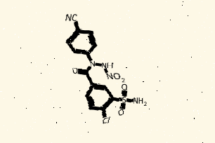 N#Cc1ccc(N(N[N+](=O)[O-])C(=O)c2ccc(Cl)c(S(N)(=O)=O)c2)cc1